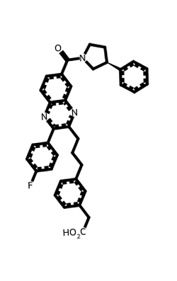 O=C(O)Cc1cccc(CCCc2nc3cc(C(=O)N4CC[C@@H](c5ccccc5)C4)ccc3nc2-c2ccc(F)cc2)c1